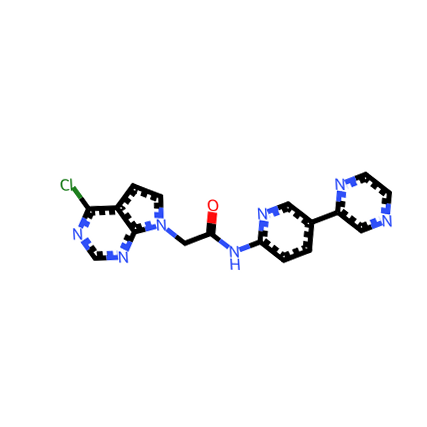 O=C(Cn1ccc2c(Cl)ncnc21)Nc1ccc(-c2cnccn2)cn1